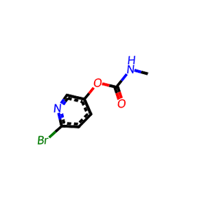 CNC(=O)Oc1ccc(Br)nc1